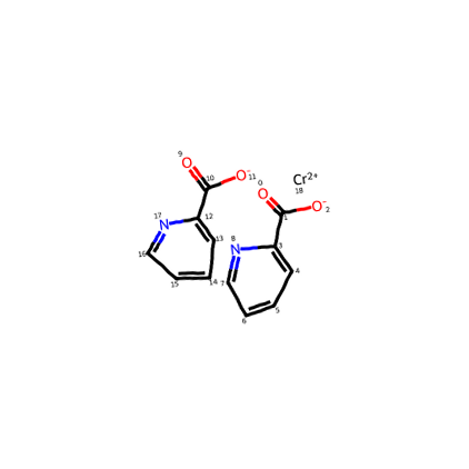 O=C([O-])c1ccccn1.O=C([O-])c1ccccn1.[Cr+2]